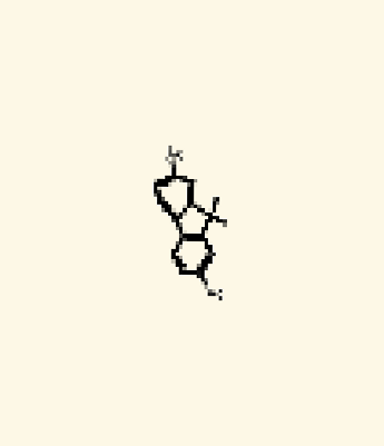 CC(=O)c1ccc2c(c1)C(C)(C)c1cc(C(C)=O)ccc1-2